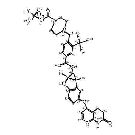 CC(C)(C)OC(=O)N1CCN(Cc2ccc(C(=O)N[C@@H]3[C@H]4Oc5ccc(Oc6ccnc7c6CCC(=O)N7)cc5[C@@H]34)cc2C(F)(F)F)CC1